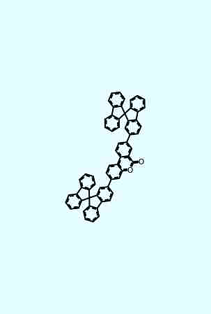 O=c1oc2cc(-c3ccc4c(c3)C3(c5ccccc5-c5ccccc53)c3ccccc3-4)ccc2c2ccc(-c3ccc4c(c3)C3(c5ccccc5-c5ccccc53)c3ccccc3-4)cc12